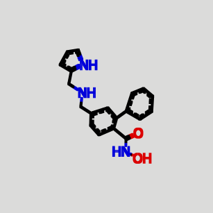 O=C(NO)c1ccc(CNCc2ccc[nH]2)cc1-c1ccccc1